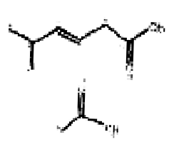 CC(=O)O.CC(C)C=CCC(=O)O